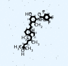 C=C1/C(=C\C=C2/CCC[C@]3(C)[C@@H]([C@H](C)CCCC(C)(C)O)CC[C@@H]23)C[C@@H](O)C[C@@H]1NC(=O)c1cc(F)c(F)cc1F